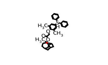 Cc1cc([SH](c2ccccc2)c2ccccc2)cc(C)c1OCC(=O)OC1(C)C2CC3CC4CC1C4(C3)C2